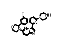 Fc1cccc(C2COCCN2c2ccc3ncc(-c4cccc(N5CCNCC5)n4)n3n2)c1